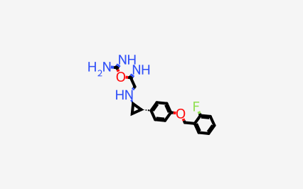 N=C(N)OC(=N)CN[C@@H]1C[C@H]1c1ccc(OCc2ccccc2F)cc1